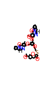 COc1cc2c(cc1OCc1cc(COc3cc4c(cc3C)C(=O)N3c5ccccc5C[C@H]3C=N4)cc(OCCCSC3CC(=O)C(CC4CCC(C(C)=O)CC4)C3=O)c1)N=C[C@@H]1Cc3ccccc3N1C2=O